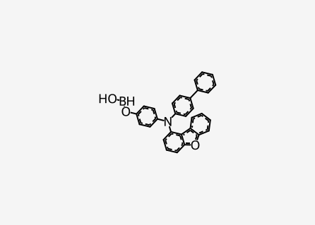 OBOc1ccc(N(c2ccc(-c3ccccc3)cc2)c2cccc3oc4ccccc4c23)cc1